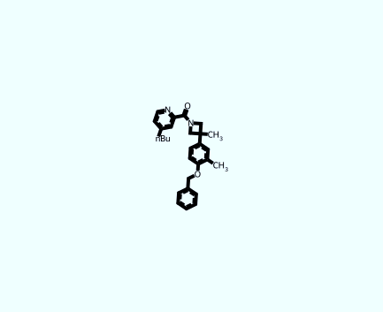 CCCCc1ccnc(C(=O)N2CC(C)(c3ccc(OCc4ccccc4)c(C)c3)C2)c1